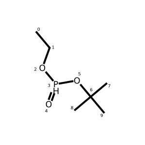 CCO[PH](=O)OC(C)(C)C